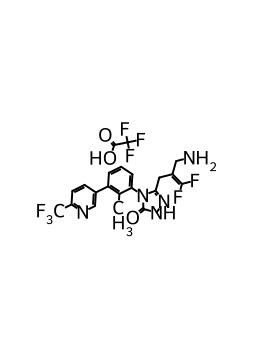 Cc1c(-c2ccc(C(F)(F)F)nc2)cccc1-n1c(CC(CN)=C(F)F)n[nH]c1=O.O=C(O)C(F)(F)F